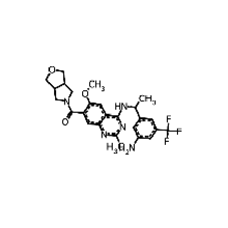 COc1cc2c(NC(C)c3cc(N)cc(C(F)(F)F)c3)nc(C)nc2cc1C(=O)N1CC2COCC2C1